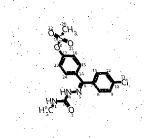 CNC(=O)NN=C(c1ccc(Cl)cc1)c1ccc(OS(C)(=O)=O)cc1